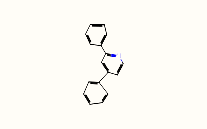 c1ccc(-c2ccnc(-c3ccccc3)c2)cc1